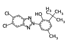 Cc1cc(-n2nc3cc(Cl)c(Cl)cc3n2)c(O)c(C(C)(C)C)c1